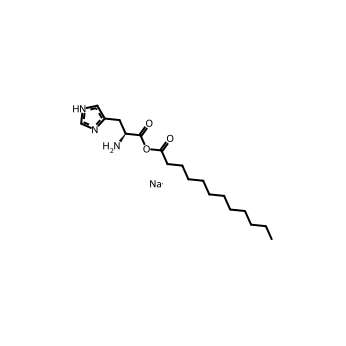 CCCCCCCCCCCC(=O)OC(=O)[C@@H](N)Cc1c[nH]cn1.[Na]